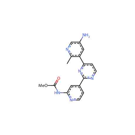 COC(=O)Nc1cc(-c2nccc(-c3cc(N)cnc3C)n2)ccn1